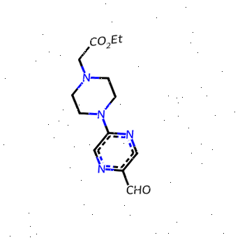 CCOC(=O)CN1CCN(c2cnc(C=O)cn2)CC1